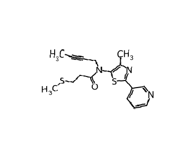 CC#CCN(C(=O)CCSC)c1sc(-c2cccnc2)nc1C